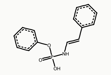 O=P(O)(NC=Cc1ccccc1)Oc1ccccc1